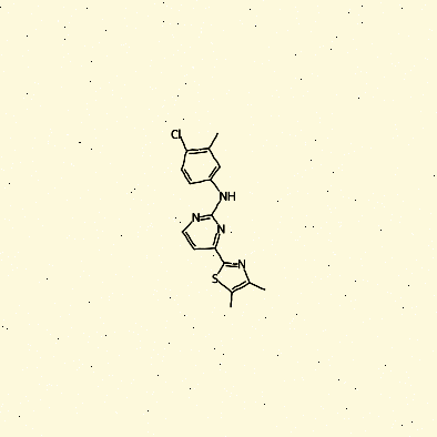 Cc1cc(Nc2nccc(-c3nc(C)c(C)s3)n2)ccc1Cl